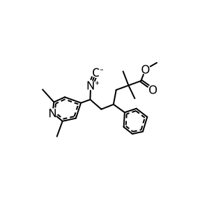 [C-]#[N+]C(CC(CC(C)(C)C(=O)OC)c1ccccc1)c1cc(C)nc(C)c1